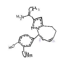 C=C(N)c1cc2n(n1)/C(c1ccc(O)c(OC)c1)=C\C=C/CC2